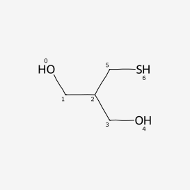 OCC(CO)CS